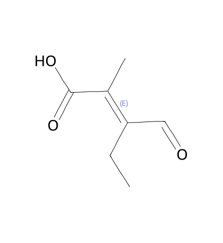 CC/C(C=O)=C(/C)C(=O)O